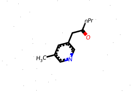 [CH2]CCC(=O)Cc1cncc(C)c1